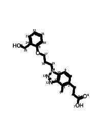 Cc1c(CCC(=O)O)ccc2c1nnn2CCCOc1ccccc1CO